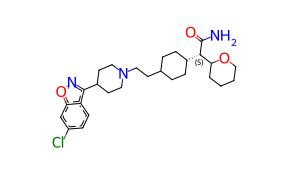 NC(=O)[C@@H](C1CCC(CCN2CCC(c3noc4cc(Cl)ccc34)CC2)CC1)C1CCCCO1